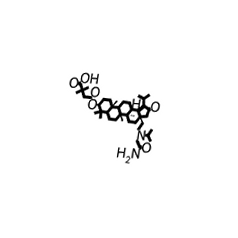 CC(C)C1=C2[C@H]3CCC4[C@@]5(C)CC[C@H](OC(=O)CC(C)(C)C(=O)O)C(C)(C)C5CC[C@@]4(C)[C@]3(C)CC[C@@]2(CCN(CC(N)=O)C(C)C)CC1=O